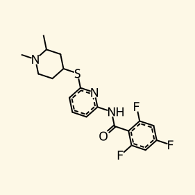 CC1CC(Sc2cccc(NC(=O)c3c(F)cc(F)cc3F)n2)CCN1C